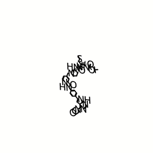 CSCC(C(=O)N[C@@H]1CCCN(Cc2ccnc(C(=O)Nc3ccc(-c4cc5c(N6CCOCC6)ncnc5[nH]4)cc3)c2)C1)[C@@H](C)NC(=O)OC(C)(C)C